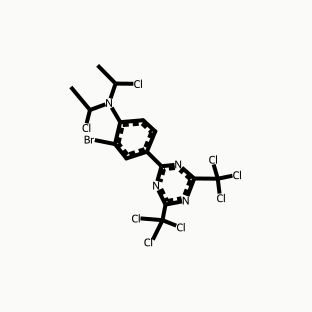 CC(Cl)N(c1ccc(-c2nc(C(Cl)(Cl)Cl)nc(C(Cl)(Cl)Cl)n2)cc1Br)C(C)Cl